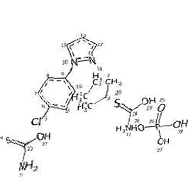 CC.CCC.Clc1ccc(-n2cccn2)cc1.NC(O)=S.NC(O)=S.O=P(O)(O)O